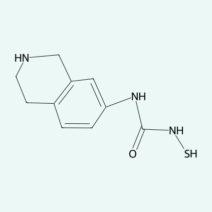 O=C(NS)Nc1ccc2c(c1)CNCC2